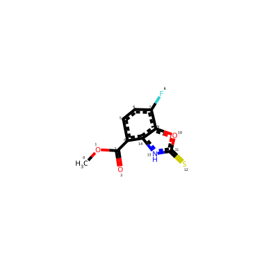 COC(=O)c1ccc(F)c2oc(=S)[nH]c12